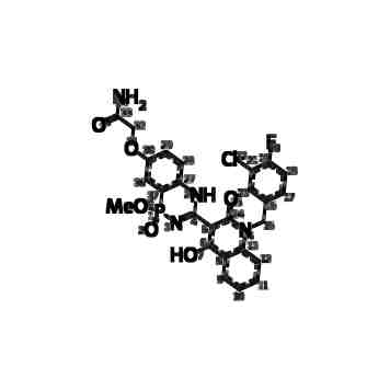 COP1(=O)N=C(c2c(O)c3ccccc3n(Cc3ccc(F)c(Cl)c3)c2=O)Nc2ccc(OCC(N)=O)cc21